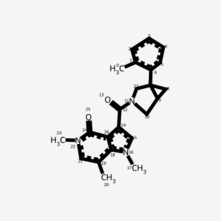 Cc1ccccc1C12CC1CN(C(=O)c1cn(C)c3c(C)cn(C)c(=O)c13)C2